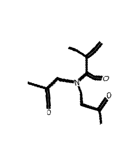 C=C(C)C(=O)N(CC(C)=O)CC(C)=O